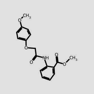 COC(=O)c1ccccc1NC(=O)COc1ccc(OC)cc1